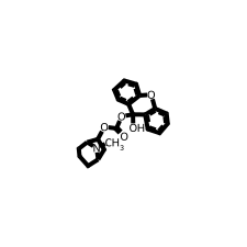 CN1C2CCCC1C(OC(=O)OC1(O)c3ccccc3Oc3ccccc31)C2